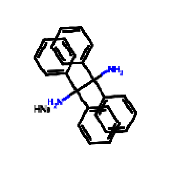 NC(c1ccccc1)(c1ccccc1)C(N)(c1ccccc1)c1ccccc1.[NaH]